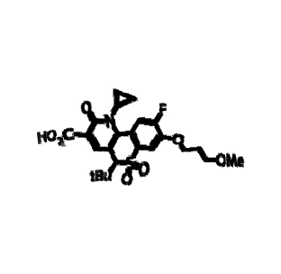 COCCCOc1cc2c(cc1F)-c1c(cc(C(=O)O)c(=O)n1C1CC1)C(C(C)(C)C)S2(=O)=O